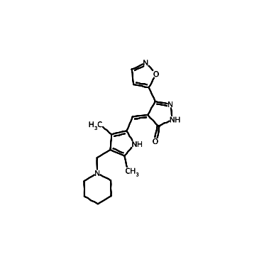 Cc1[nH]c(C=C2C(=O)NN=C2c2ccno2)c(C)c1CN1CCCCC1